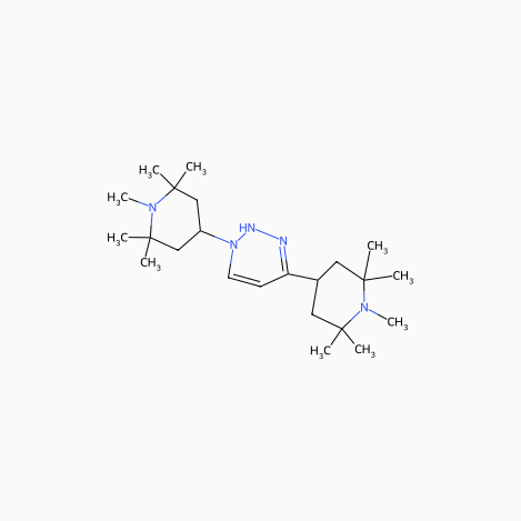 CN1C(C)(C)CC(C2=NNN(C3CC(C)(C)N(C)C(C)(C)C3)C=C2)CC1(C)C